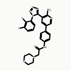 Nc1ncc(-c2ccc(NC(=O)CN3CCOCC3)cc2)cc1-c1nnnn1-c1cccc(F)c1F